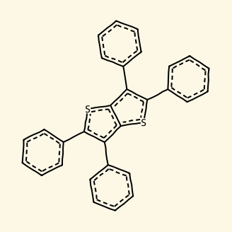 c1ccc(-c2sc3c(-c4ccccc4)c(-c4ccccc4)sc3c2-c2ccccc2)cc1